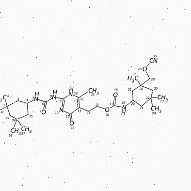 CCC1(C)CC(NC(=O)Nc2nc(=O)c(CCOC(=O)NC3CC(C)(C)CC(C)(COC#N)C3)c(C)[nH]2)CC(C)(C)C1